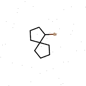 BrC1CCCC12CCCC2